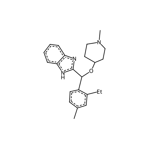 CCc1cc(C)ccc1C(OC1CCN(C)CC1)c1nc2ccccc2[nH]1